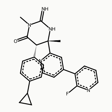 CN1C(=N)N[C@](C)(c2cc(-c3cccnc3F)ccn2)[C@H](c2ccc(C3CC3)cc2)C1=O